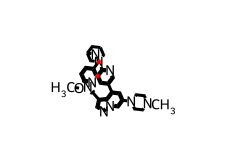 COc1ccc(CN2C3CC2CN(c2ccc(-c4cc(N5CCN(C)CC5)cn5ncc(C#N)c45)cn2)C3)cn1